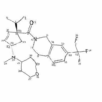 CC(C)[C@]1(C(=O)N2CCc3ccc(C(F)(F)F)cc3C2)C=C[C@@H](N(C)C2CCOCC2)C1